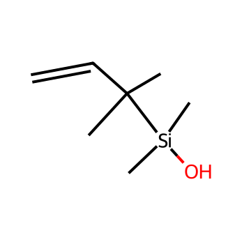 C=CC(C)(C)[Si](C)(C)O